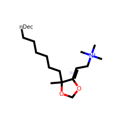 CCCCCCCCCCCCCCCCC1(C)OCO/C1=C\C[N+](C)(C)C